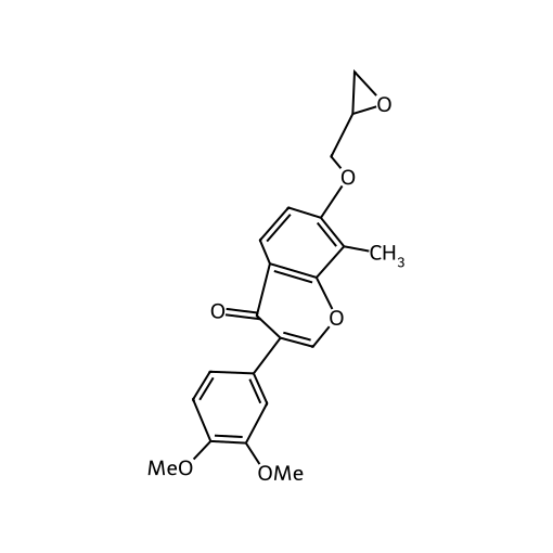 COc1ccc(-c2coc3c(C)c(OCC4CO4)ccc3c2=O)cc1OC